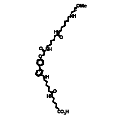 COCCCNCCCCCCNC(=O)CCCCCNC(=O)COc1ccc(-c2cccc(NCCCCCC(=O)NCCCCCC(=O)O)c2)cc1